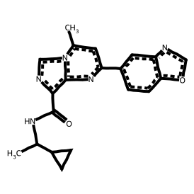 Cc1cc(-c2ccc3ocnc3c2)nc2c(C(=O)NC(C)C3CC3)ncn12